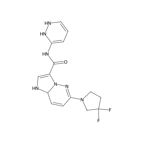 O=C(NC1=CC=CNN1)C1=CNC2C=CC(N3CCC(F)(F)C3)=NN12